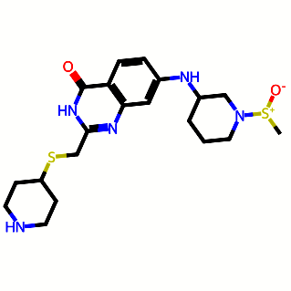 C[S+]([O-])N1CCCC(Nc2ccc3c(=O)[nH]c(CSC4CCNCC4)nc3c2)C1